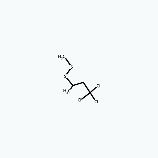 CSSC(C)CC(Cl)(Cl)Cl